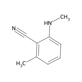 CNc1cccc(C)c1C#N